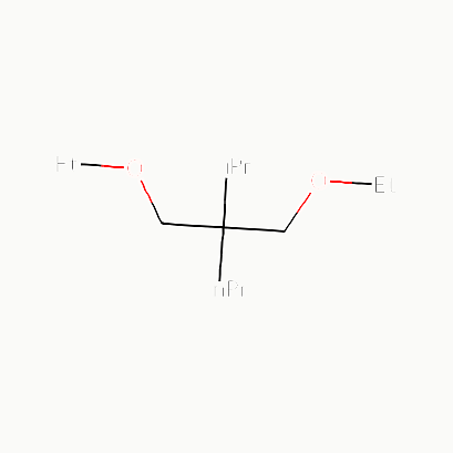 CCCC(COCC)(COCC)C(C)C